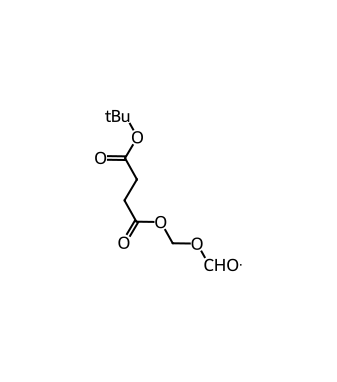 CC(C)(C)OC(=O)CCC(=O)OCO[C]=O